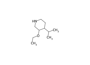 CCOC1CNCCC1C(C)C